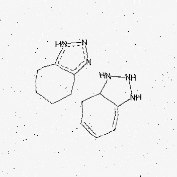 C1=CCC2NNNC2=C1.C1CCc2[nH]nnc2C1